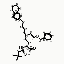 CC(C)(C)CC(=O)N[C@@H](CCN(CCCCc1ccc2c(n1)NCCC2)CCOCc1ccccc1)C(=O)O